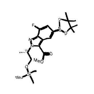 COC(=O)c1c2cc(B3OC(C)(C)C(C)(C)O3)cc(F)c2nn1[C@@H](C)CO[Si](C)(C)C(C)(C)C